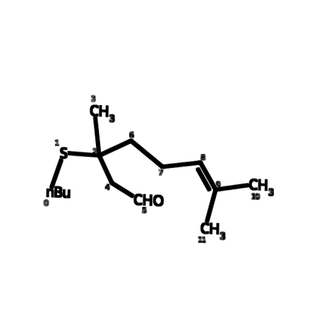 CCCCSC(C)(CC=O)CCC=C(C)C